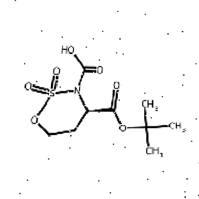 CC(C)(C)OC(=O)[C@H]1CCOS(=O)(=O)N1C(=O)O